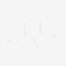 N#Cc1c(C(=O)O)ccc(C(=O)O)c1C#N